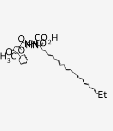 CCC=CCC=CCC=CCC=CCC=CCC=CCCC(=O)NC(CNC(=O)C1=CC(=O)C(C)(c2ccccc2)O1)C(=O)O